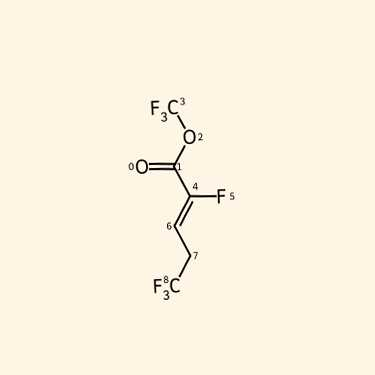 O=C(OC(F)(F)F)C(F)=CCC(F)(F)F